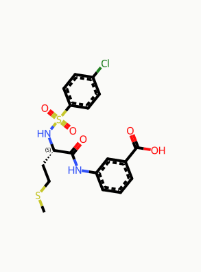 CSCC[C@H](NS(=O)(=O)c1ccc(Cl)cc1)C(=O)Nc1cccc(C(=O)O)c1